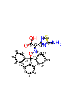 Cc1ccccc1C(ON=C(C(=O)O)c1nsc(N)n1)(c1ccccc1)c1ccccc1